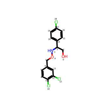 OCC(NOCc1ccc(Cl)c(Cl)c1)c1ccc(Cl)cc1